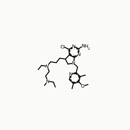 CCN(C)CCN(CC)CCCC1CN(Cc2ncc(C)c(OC)c2C)c2nc(N)nc(Cl)c21